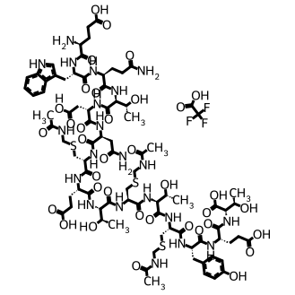 CC(=O)NCSC[C@H](NC(=O)[C@H](CC(N)=O)NC(=O)[C@H](CC(=O)O)NC(=O)[C@@H](NC(=O)[C@H](CCC(N)=O)NC(=O)[C@H](Cc1c[nH]c2ccccc12)NC(=O)[C@@H](N)CCC(=O)O)[C@@H](C)O)C(=O)N[C@@H](CCC(=O)O)C(=O)N[C@H](C(=O)N[C@@H](CSCNC(C)=O)C(=O)N[C@H](C(=O)N[C@@H](CSCNC(C)=O)C(=O)N[C@@H](Cc1ccc(O)cc1)C(=O)N[C@@H](CCC(=O)O)C(=O)N[C@H](C(=O)O)[C@@H](C)O)[C@@H](C)O)[C@@H](C)O.O=C(O)C(F)(F)F